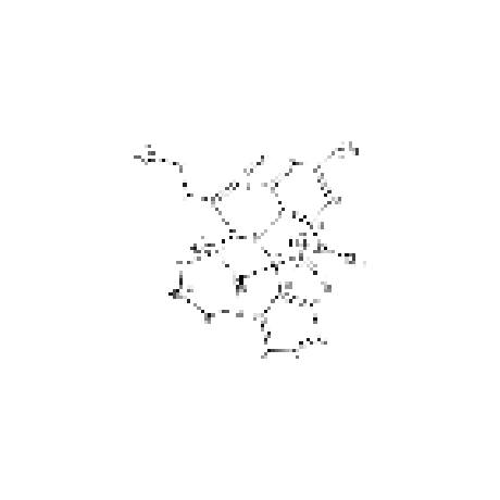 CCCC(=C=O)C(C)C(c1ccc(C)cc1OC)C(C(N)=O)(c1ccccc1)N1CCNCC1